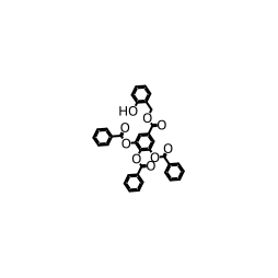 O=C(OCc1ccccc1O)c1cc(OC(=O)c2ccccc2)c(OC(=O)c2ccccc2)c(OC(=O)c2ccccc2)c1